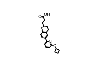 O=C(O)CCC1CCc2cc(-c3cccc(OC4CCC4)n3)ccc2S1